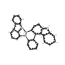 c1ccc2c(c1)-c1c(ccc3oc4ccccc4c13)B1N2c2cccc3c4ccccc4n1c23